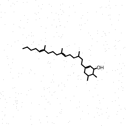 CCCC/C=C(\C)CCC/C(C)=C/CCC(C)CCC1=CC(O)C(C)C(C)C1